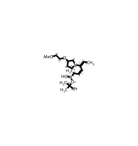 C/C=C(\C=C/C(C)B(O)OC(C)(C)C(C)C)N1CCC(OCCOC)C1